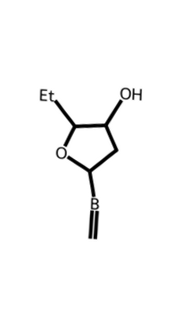 C=BC1CC(O)C(CC)O1